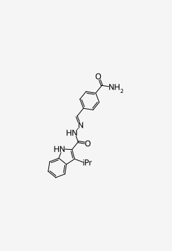 CC(C)c1c(C(=O)N/N=C/c2ccc(C(N)=O)cc2)[nH]c2ccccc12